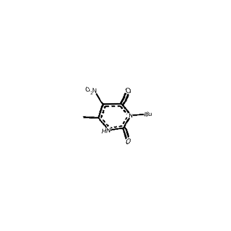 CCC(C)n1c(=O)[nH]c(C)c([N+](=O)[O-])c1=O